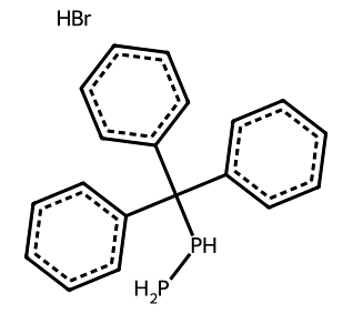 Br.PPC(c1ccccc1)(c1ccccc1)c1ccccc1